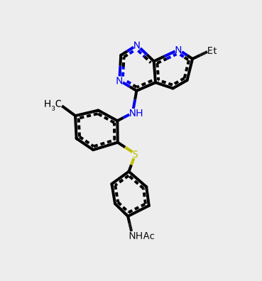 CCc1ccc2c(Nc3cc(C)ccc3Sc3ccc(NC(C)=O)cc3)ncnc2n1